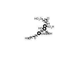 COc1cc(SOC(=O)CSOOO)ccc1N=Nc1c(SOOO)cc2c(S(=O)(=O)O)c(Nc3nc(Cl)nc(SCC(=O)O)n3)ccc2c1O